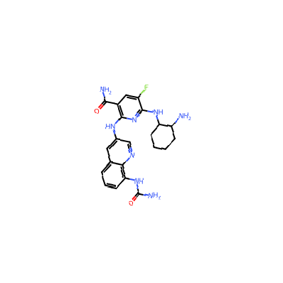 NC(=O)Nc1cccc2cc(Nc3nc(NC4CCCCC4N)c(F)cc3C(N)=O)cnc12